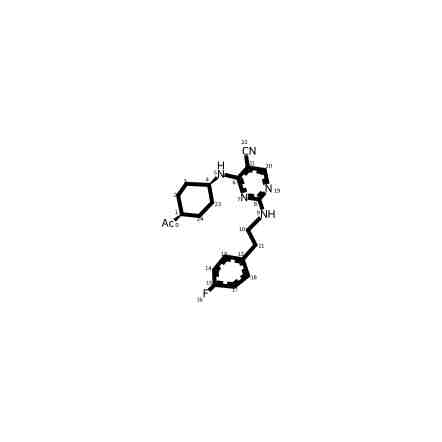 CC(=O)[C@H]1CC[C@@H](Nc2nc(NCCc3ccc(F)cc3)ncc2C#N)CC1